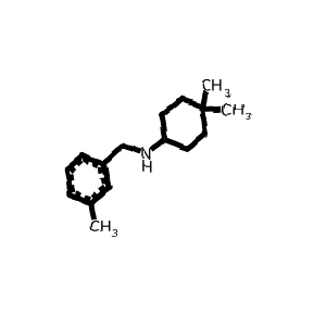 Cc1cccc(CNC2CCC(C)(C)CC2)c1